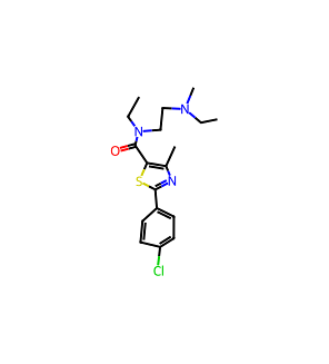 CCN(C)CCN(CC)C(=O)c1sc(-c2ccc(Cl)cc2)nc1C